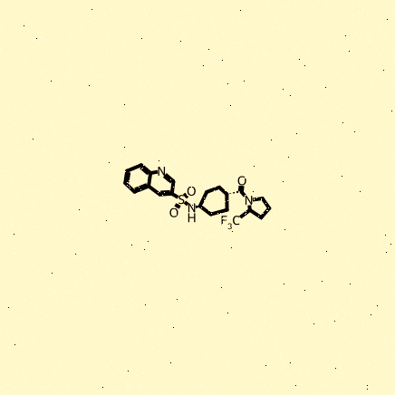 O=C([C@H]1CC[C@H](NS(=O)(=O)c2cnc3ccccc3c2)CC1)N1CCCC1C(F)(F)F